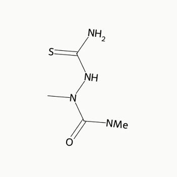 CNC(=O)N(C)NC(N)=S